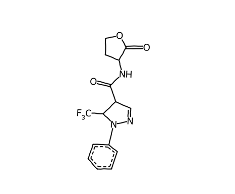 O=C1OCCC1NC(=O)C1C=NN(c2ccccc2)C1C(F)(F)F